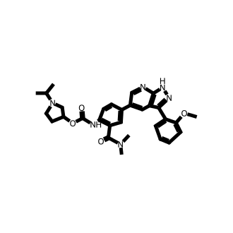 COc1ccccc1-c1n[nH]c2ncc(-c3ccc(NC(=O)OC4CCN(C(C)C)C4)c(C(=O)N(C)C)c3)cc12